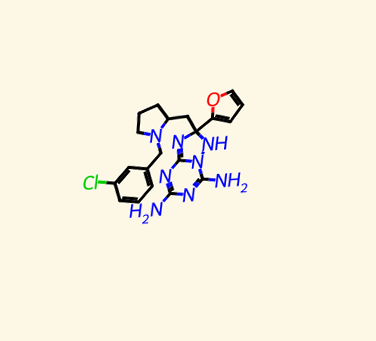 NC1=NC2=NC(CC3CCCN3Cc3cccc(Cl)c3)(c3ccco3)NN2C(N)=N1